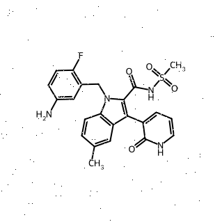 Cc1ccc2c(c1)c(-c1ccc[nH]c1=O)c(C(=O)NS(C)(=O)=O)n2Cc1cc(N)ccc1F